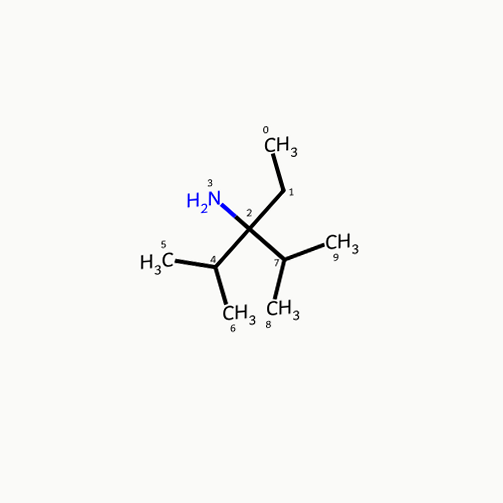 CCC(N)(C(C)C)C(C)C